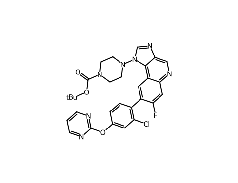 CC(C)(C)OC(=O)N1CCN(n2cnc3cnc4cc(F)c(-c5ccc(Oc6ncccn6)cc5Cl)cc4c32)CC1